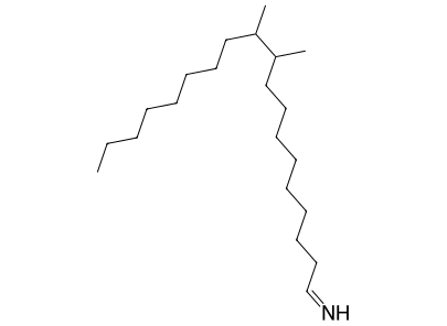 CCCCCCCCC(C)C(C)CCCCCCCCC=N